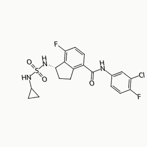 O=C(Nc1ccc(F)c(Cl)c1)c1ccc(F)c2c1CC[C@@H]2NS(=O)(=O)NC1CC1